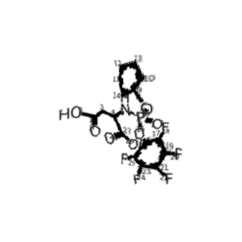 O=C(O)CC(N[P@](=O)(Oc1ccccc1)Oc1c(F)c(F)c(F)c(F)c1F)C(=O)O